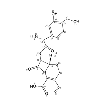 C=CC1=C(C(=O)O)N2C(=O)C(NC(=O)[C@H](N)c3ccc(CO)c(O)c3)[C@@H]2SC1